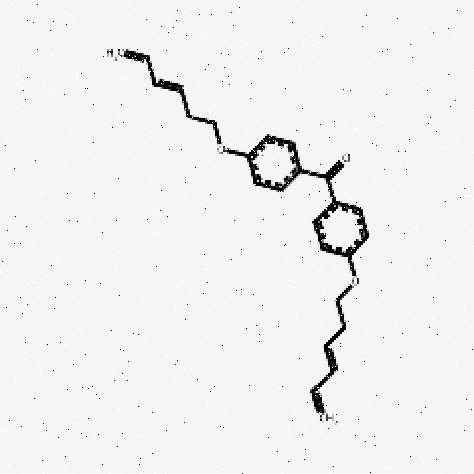 C=CC=CCCOc1ccc(C(=O)c2ccc(OCCC=CC=C)cc2)cc1